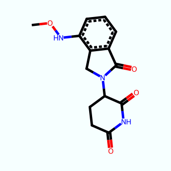 CONc1cccc2c1CN(C1CCC(=O)NC1=O)C2=O